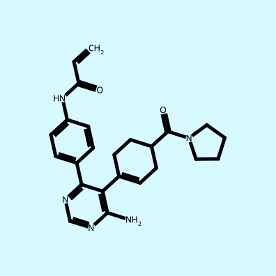 C=CC(=O)Nc1ccc(-c2ncnc(N)c2C2=CCC(C(=O)N3CCCC3)CC2)cc1